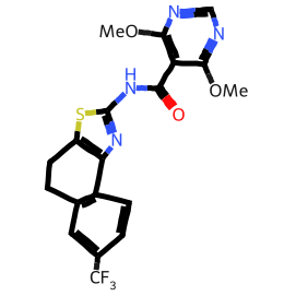 COc1ncnc(OC)c1C(=O)Nc1nc2c(s1)CCc1cc(C(F)(F)F)ccc1-2